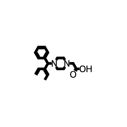 C=C/C(=C\C)C(c1ccccc1)N1CCN(CC(=O)O)CC1